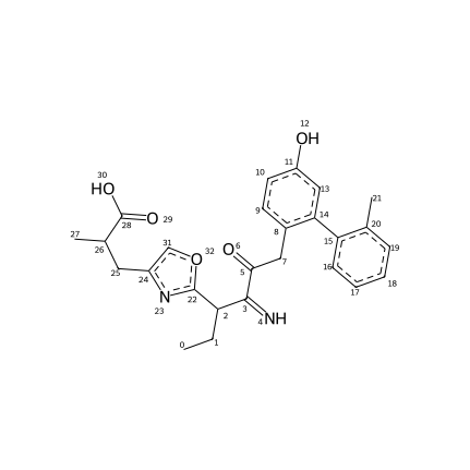 CCC(C(=N)C(=O)Cc1ccc(O)cc1-c1ccccc1C)c1nc(CC(C)C(=O)O)co1